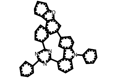 c1ccc(-c2nc(-c3ccccc3)nc(-c3cccc4c3c3cc(-c5ccc6c(c5)oc5ccccc56)ccc3n4-c3ccccc3)n2)cc1